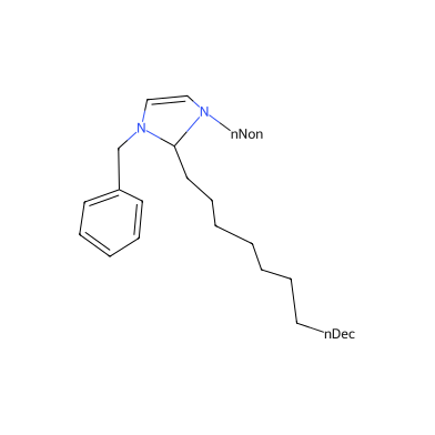 CCCCCCCCCCCCCCCCCC1N(CCCCCCCCC)C=CN1Cc1ccccc1